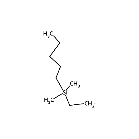 [CH2]C[Si](C)(C)CCCCC